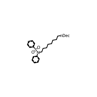 CCCCCCCCCCCCCCCCCCN(c1ccccc1)S(=O)(=O)c1cc[c]cc1